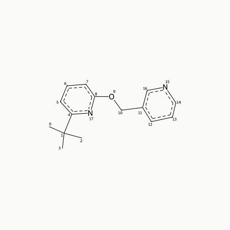 CC(C)(C)c1cccc(OCc2cccnc2)n1